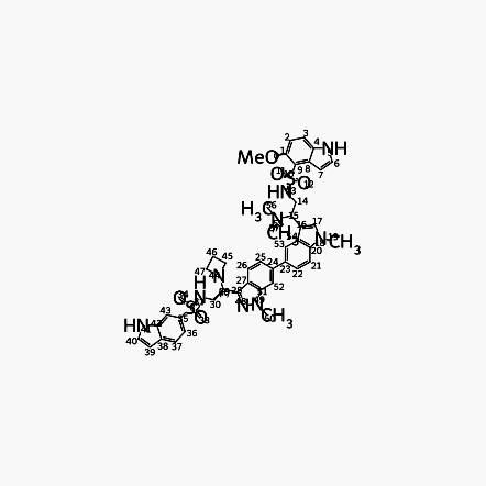 COc1ccc2[nH]ccc2c1S(=O)(=O)NCC(c1cn(C)c2ccc(-c3ccc4c([C@@H](CNS(=O)(=O)c5ccc6cc[nH]c6c5)N5CCC5)nn(C)c4c3)cc12)N(C)C